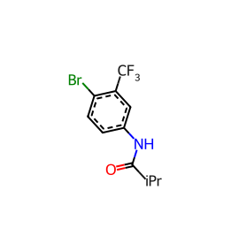 CC(C)C(=O)Nc1ccc(Br)c(C(F)(F)F)c1